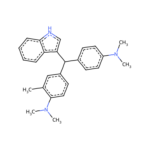 Cc1cc(C(c2ccc(N(C)C)cc2)c2c[nH]c3ccccc23)ccc1N(C)C